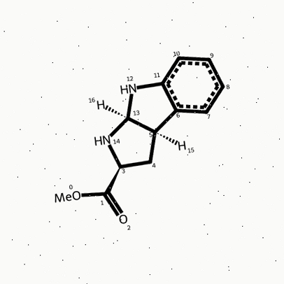 COC(=O)[C@@H]1C[C@@H]2c3ccccc3N[C@@H]2N1